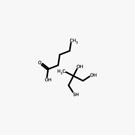 CC(O)(CO)CS.CCCCC(=O)O